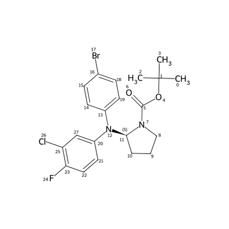 CC(C)(C)OC(=O)N1CCC[C@H]1N(c1ccc(Br)cc1)c1ccc(F)c(Cl)c1